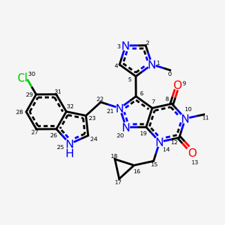 Cn1cncc1-c1c2c(=O)n(C)c(=O)n(CC3CC3)c2nn1Cc1c[nH]c2ccc(Cl)cc12